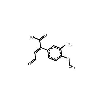 COc1ccc(/C(=C\C=O)C(=O)O)cc1C